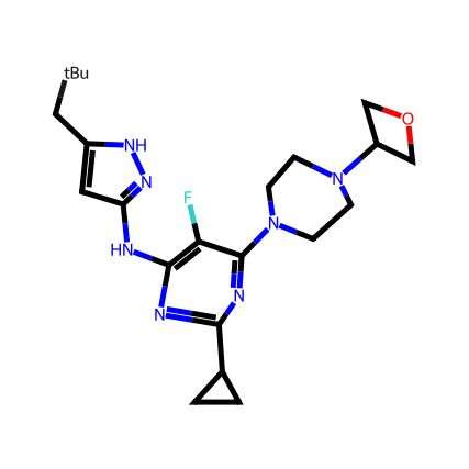 CC(C)(C)Cc1cc(Nc2nc(C3CC3)nc(N3CCN(C4COC4)CC3)c2F)n[nH]1